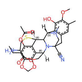 CCc1c2c(c3c(c1OC(C)=O)[C@H]1SCC(N)C(=O)OC[C@@H]3N3C1[C@@H]1c4c(cc(C)c(OC)c4O)CC3(C#N)CN1C)OCO2